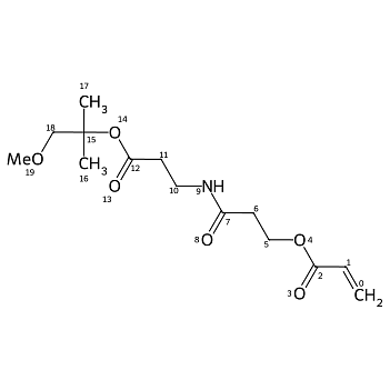 C=CC(=O)OCCC(=O)NCCC(=O)OC(C)(C)COC